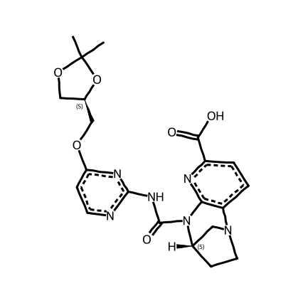 CC1(C)OC[C@H](COc2ccnc(NC(=O)N3c4nc(C(=O)O)ccc4N4CC[C@H]3C4)n2)O1